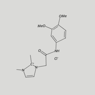 COc1ccc(NC(=O)Cn2ccn(C)[c+]2C)cc1OC.[Cl-]